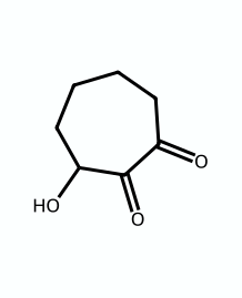 O=C1CCCCC(O)C1=O